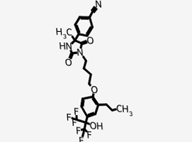 CCCc1cc(C(O)(C(F)(F)F)C(F)(F)F)ccc1OCCCCN1C(=O)NC(C)(c2ccc(C#N)cc2)C1=O